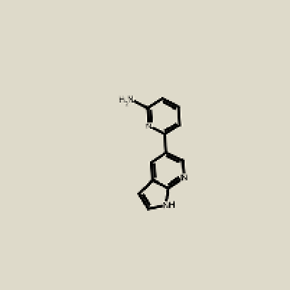 Nc1cccc(-c2cnc3[nH]ccc3c2)n1